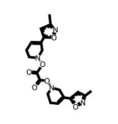 Cc1cc(C2=CCCN(OC(=O)C(=O)ON3CCC=C(c4cc(C)no4)C3)C2)on1